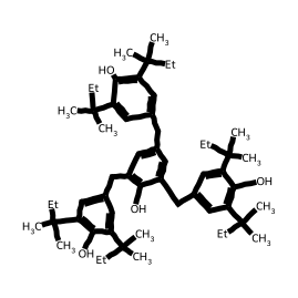 CCC(C)(C)c1cc(Cc2cc(Cc3cc(C(C)(C)CC)c(O)c(C(C)(C)CC)c3)c(O)c(Cc3cc(C(C)(C)CC)c(O)c(C(C)(C)CC)c3)c2)cc(C(C)(C)CC)c1O